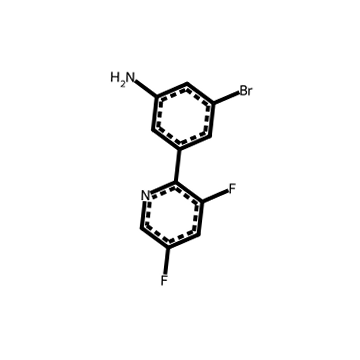 Nc1cc(Br)cc(-c2ncc(F)cc2F)c1